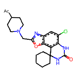 CC(=O)C1CCN(Cc2nc3cc(Cl)c4c(c3o2)C2(CCCCC2)NC(=O)N4)CC1